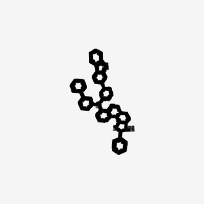 c1ccc(-c2cccc(N(c3cccc(-c4ccc5c(c4)sc4ccccc45)c3)c3cccc4c3ccc3ccc5c(c34)SC(c3ccccc3)N5)c2)cc1